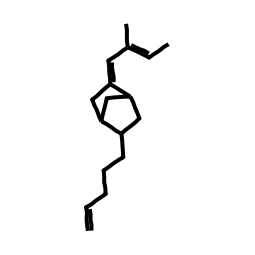 C=CCCCC1CC2CC1CC2=CC(C)=CC